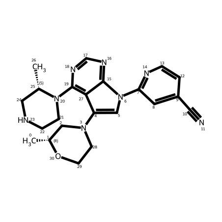 C[C@@H]1CN(c2cn(-c3cc(C#N)ccn3)c3ncnc(N4CCNC[C@@H]4C)c23)CCO1